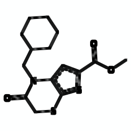 COC(=O)c1cc2c(s1)SCC(=O)N2CC1CCCCC1